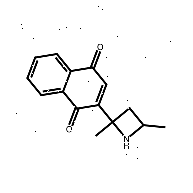 CC1CC(C)(C2=CC(=O)c3ccccc3C2=O)N1